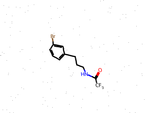 O=C(NCCCc1cccc(Br)c1)C(F)(F)F